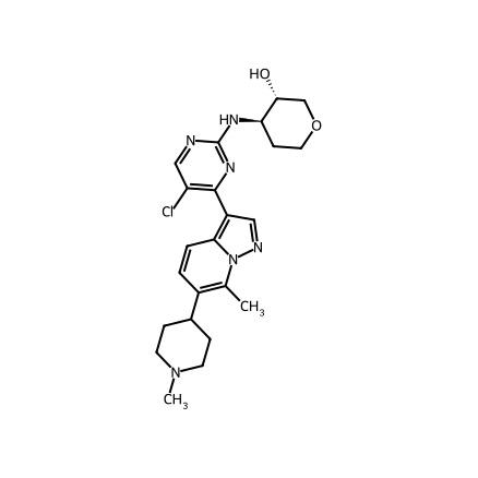 Cc1c(C2CCN(C)CC2)ccc2c(-c3nc(N[C@@H]4CCOC[C@H]4O)ncc3Cl)cnn12